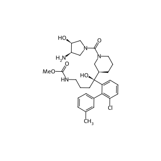 COC(=O)NCCC[C@@](O)(c1cccc(Cl)c1-c1cccc(C)c1)[C@@H]1CCCN(C(=O)N2C[C@@H](N)[C@@H](O)C2)C1